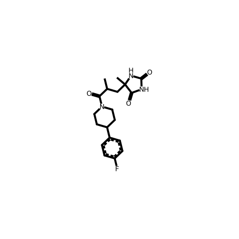 CC(CC1(C)NC(=O)NC1=O)C(=O)N1CCC(c2ccc(F)cc2)CC1